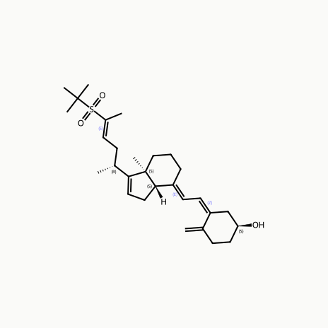 C=C1CC[C@H](O)C/C1=C/C=C1\CCC[C@]2(C)C([C@H](C)C/C=C(\C)S(=O)(=O)C(C)(C)C)=CC[C@@H]12